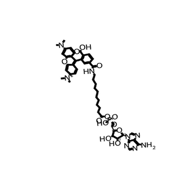 CN(C)c1ccc2c(-c3cc(C(=O)NCCCCCCCCCCC(=O)OP(=O)(O)OC[C@H]4O[C@@H](n5cnc6c(N)ncnc65)[C@@H](O)C4O)ccc3C(=O)O)c3ccc(=[N+](C)C)cc-3oc2c1